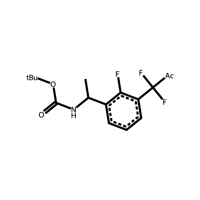 CC(=O)C(F)(F)c1cccc(C(C)NC(=O)OC(C)(C)C)c1F